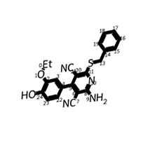 CCOc1cc(-c2c(C#N)c(N)nc(SCc3ccccc3)c2C#N)ccc1O